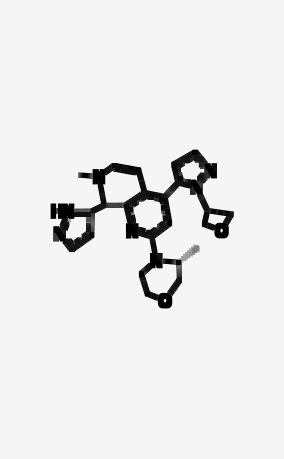 C[C@@H]1COCCN1c1cc(-c2ccnn2C2COC2)c2c(n1)C(c1ccn[nH]1)N(C)C=C2